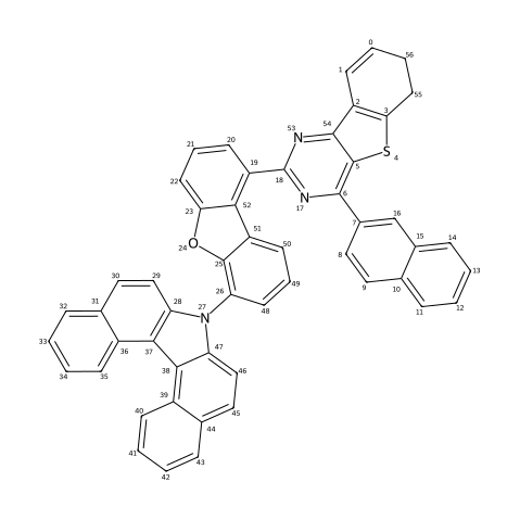 C1=Cc2c(sc3c(-c4ccc5ccccc5c4)nc(-c4cccc5oc6c(-n7c8ccc9ccccc9c8c8c9ccccc9ccc87)cccc6c45)nc23)CC1